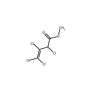 COC(=O)C(Cl)C(Cl)=C(Cl)Cl